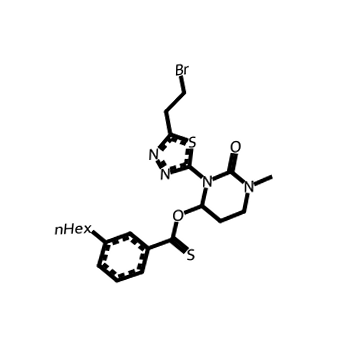 CCCCCCc1cccc(C(=S)OC2CCN(C)C(=O)N2c2nnc(CCBr)s2)c1